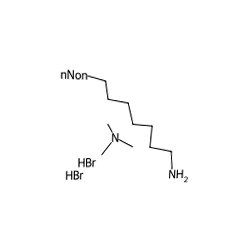 Br.Br.CCCCCCCCCCCCCCCCN.CN(C)C